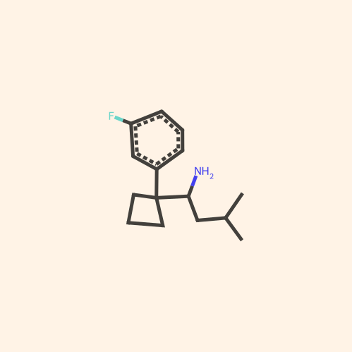 CC(C)CC(N)C1(c2cccc(F)c2)CCC1